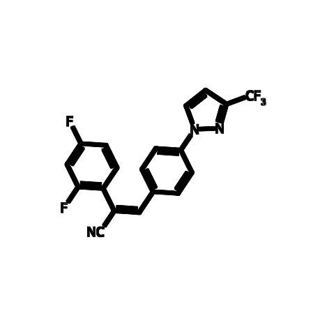 N#CC(=Cc1ccc(-n2ccc(C(F)(F)F)n2)cc1)c1ccc(F)cc1F